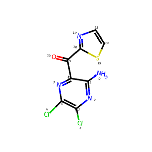 Nc1nc(Cl)c(Cl)nc1C(=O)c1nccs1